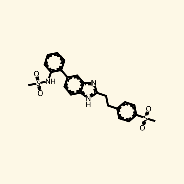 CS(=O)(=O)Nc1ccccc1-c1ccc2[nH]c(CCc3ccc(S(C)(=O)=O)cc3)nc2c1